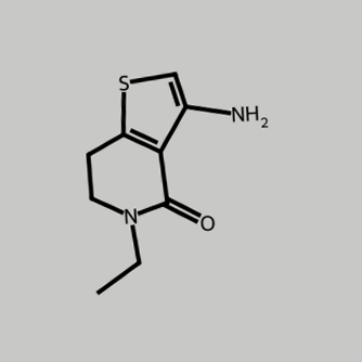 CCN1CCc2scc(N)c2C1=O